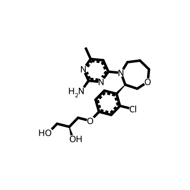 Cc1cc(N2CCCOC[C@H]2c2ccc(OC[C@@H](O)CO)cc2Cl)nc(N)n1